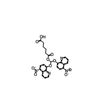 O=C(O)CCCCC(=O)OC(Oc1ccc([N+](=O)[O-])c2cccnc12)Oc1ccc([N+](=O)[O-])c2cccnc12